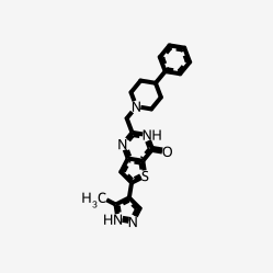 Cc1[nH]ncc1-c1cc2nc(CN3CCC(c4ccccc4)CC3)[nH]c(=O)c2s1